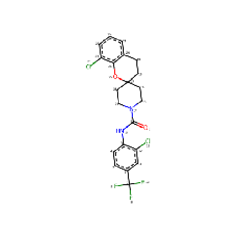 O=C(Nc1ccc(C(F)(F)F)cc1Cl)N1CCC2(CCc3cccc(Cl)c3O2)CC1